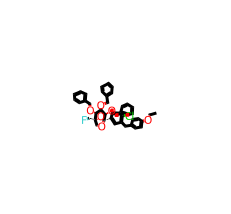 CCOc1ccc(Cc2cc([C@]34OC[C@](CF)(O3)[C@@H](OCc3ccccc3)[C@H](OCc3ccccc3)[C@H]4OCc3ccccc3)ccc2Cl)cc1